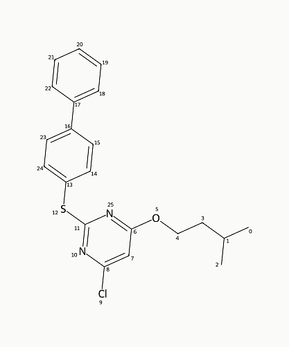 CC(C)CCOc1cc(Cl)nc(Sc2ccc(-c3ccccc3)cc2)n1